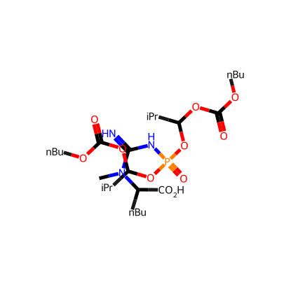 CCCCOC(=O)OC(OP(=O)(NC(=N)N(C)C(CCCC)C(=O)O)OC(OC(=O)OCCCC)C(C)C)C(C)C